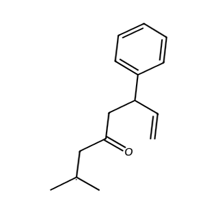 C=CC(CC(=O)C[C](C)C)c1ccccc1